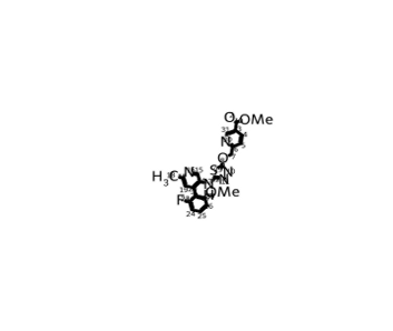 COC(=O)c1ccc(COc2nnc(Nc3cnc(C)cc3-c3c(F)cccc3OC)s2)nc1